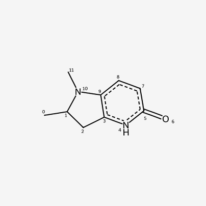 CC1Cc2[nH]c(=O)ccc2N1C